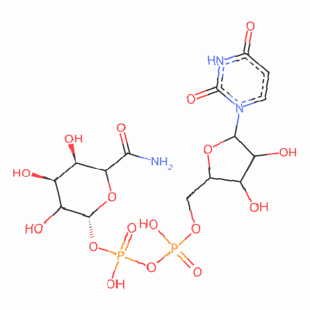 NC(=O)C1O[C@H](OP(=O)(O)OP(=O)(O)OCC2OC(n3ccc(=O)[nH]c3=O)C(O)C2O)C(O)[C@@H](O)[C@H]1O